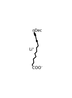 CCCCCCCCCCC#CC#CCCCCCCCCC(=O)[O-].[Li+]